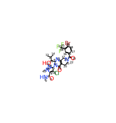 CNC(=O)c1c(Cl)c(-n2c(C(O)C(C)C)nc3c(c2=O)C[C@@H](C)N(C(=O)c2ccc(Br)c(C(F)(F)F)c2)C3)nn1C